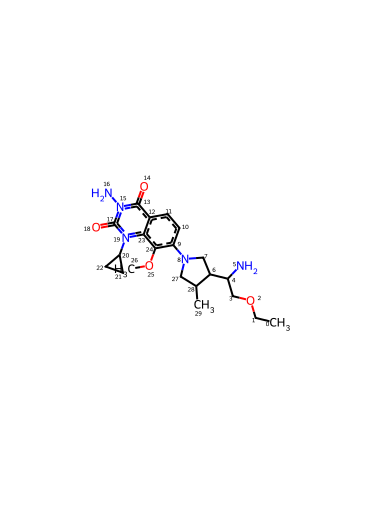 CCOCC(N)C1CN(c2ccc3c(=O)n(N)c(=O)n(C4CC4)c3c2OC)CC1C